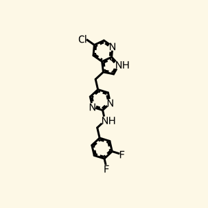 Fc1ccc(CNc2ncc(Cc3c[nH]c4ncc(Cl)cc34)cn2)cc1F